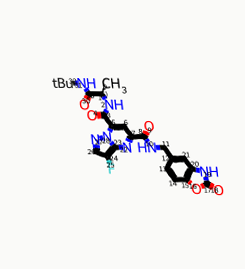 C[C@H](NC(=O)c1cc(C(=O)NCc2ccc3oc(=O)[nH]c3c2)nc2c(F)cnn12)C(=O)NC(C)(C)C